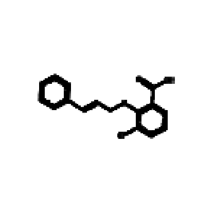 O=C(O)c1cccc(Cl)c1OCC=Cc1ccccc1